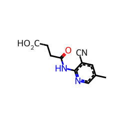 Cc1cnc(NC(=O)CCC(=O)O)c(C#N)c1